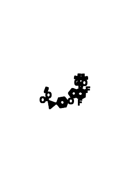 CCOC(=O)[C@H]1C[C@@H]1c1ccc(O[C@@H]2CCc3c(B4OC(C)(C)C(C)(C)O4)c(F)cc(F)c32)cc1